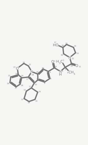 CC(C)(NC(=O)c1ccc2c(C3CCCCC3)c3n(c2c1)CCOc1ccccc1-3)C(=O)N1CCCC(O)C1